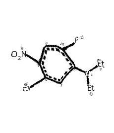 CCN(CC)c1cc(Cl)c([N+](=O)[O-])cc1F